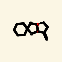 O=C1CC[C@@]23CC[C@@]12OC1(CCCCC1)O3